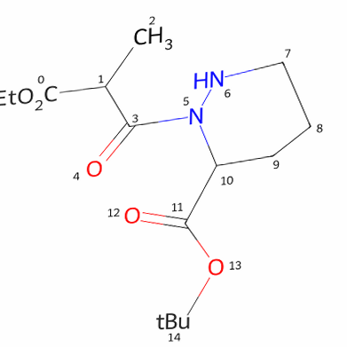 CCOC(=O)C(C)C(=O)N1NCCCC1C(=O)OC(C)(C)C